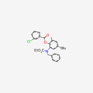 CCOC(=O)N(Cc1ccccc1)c1cc(C(C)(C)C)cc(C)c1OC(=O)c1cccc(Cl)c1